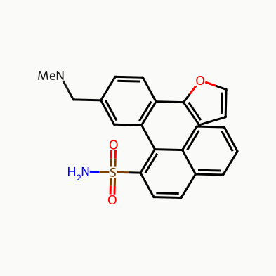 CNCc1ccc(-c2ccco2)c(-c2c(S(N)(=O)=O)ccc3ccccc23)c1